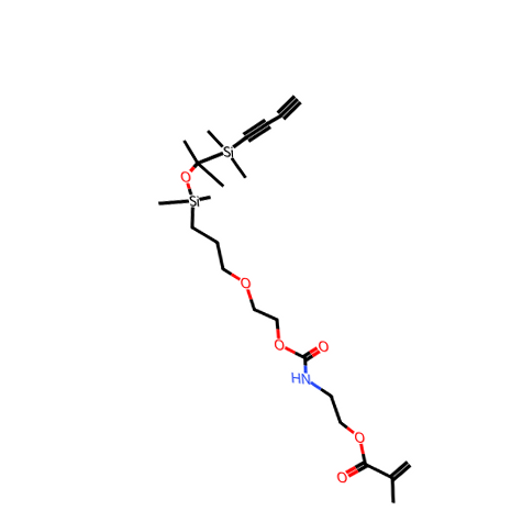 C#CC#C[Si](C)(C)C(C)(C)O[Si](C)(C)CCCOCCOC(=O)NCCOC(=O)C(=C)C